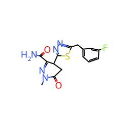 CN1N=C(C(N)=O)C(c2nnc(Cc3cccc(F)c3)s2)CC1=O